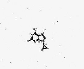 Cc1nc(Cl)c2c(I)cn(C3CC3)c2n1